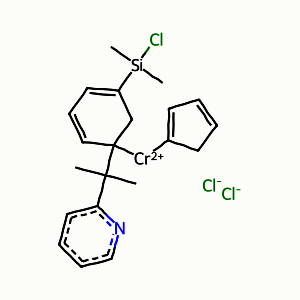 CC(C)(c1ccccn1)[C]1([Cr+2][C]2=CC=CC2)C=CC=C([Si](C)(C)Cl)C1.[Cl-].[Cl-]